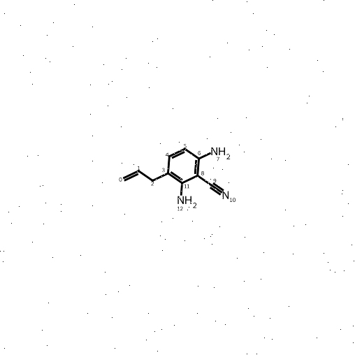 C=CCc1ccc(N)c(C#N)c1N